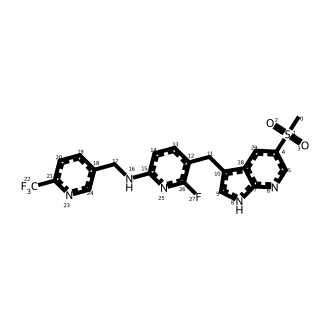 CS(=O)(=O)c1cnc2[nH]cc(Cc3ccc(NCc4ccc(C(F)(F)F)nc4)nc3F)c2c1